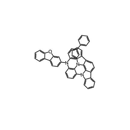 c1ccc(-c2ccc(N(c3ccc4c(c3)oc3ccccc34)c3cccc4c3n3c5ccccc5c5ccc6c7ccccc7n4c6c53)cc2)cc1